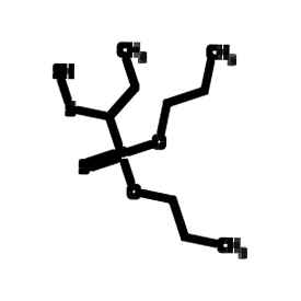 CCCOP(=S)(OCCC)C(CC)SS